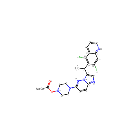 COC(=O)ON1CCN(c2ccc3ncc(C(C)c4c(F)cc5ncccc5c4F)n3n2)CC1